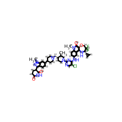 C[C@H]1CN(c2ncc(Cl)c(Nc3ccc4c(c3)c3c(c(=O)n4C)OCC(F)(F)[C@H](C4CC4)N3)n2)CC[C@@H]1CN1CCC(c2ccc3c(C4CCC(=O)NC4=O)nn(C)c3c2)CC1